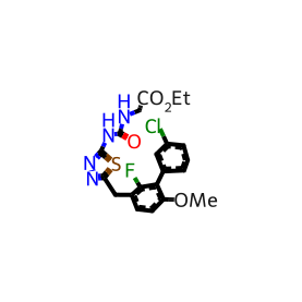 CCOC(=O)CNC(=O)Nc1nnc(Cc2ccc(OC)c(-c3cccc(Cl)c3)c2F)s1